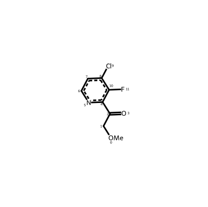 COCC(=O)c1nccc(Cl)c1F